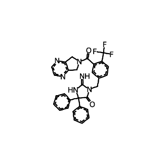 N=C1NC(c2ccccc2)(c2ccccc2)C(=O)N1Cc1ccc(C(F)(F)F)c(C(=O)N2Cc3nccnc3C2)c1